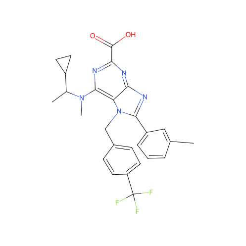 Cc1cccc(-c2nc3nc(C(=O)O)nc(N(C)C(C)C4CC4)c3n2Cc2ccc(C(F)(F)F)cc2)c1